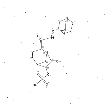 O=C(NOC1CN2CCC1CC2)[C@@H]1CCC2CN1C(=O)N2OS(=O)(=O)O